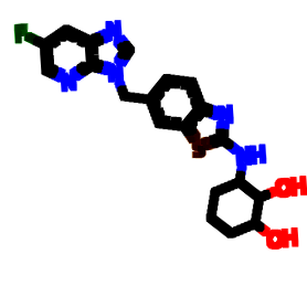 OC1CCCC(Nc2nc3ccc(Cn4cnc5cc(F)cnc54)cc3s2)C1O